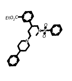 CCOC(=O)c1cccc(C(CCN2CCC(c3ccccc3)CC2)CN(C)S(=O)(=O)c2ccccc2)c1